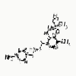 Cc1ncc(CCNCc2ccc(C#N)cc2)c2c1OC(C)(C)OC2